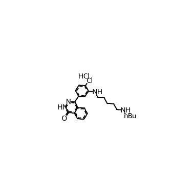 CCCCNCCCCCNc1cc(-c2n[nH]c(=O)c3ccccc23)ccc1Cl.Cl